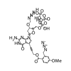 COc1ccc(C(=O)OCC#Cc2cn([C@H]3CC(OCN=[N+]=[N-])[C@@H](COP(=O)(O)OP(=O)(O)OP(=O)(O)O)O3)c3nc(N)[nH]c(=O)c23)c(CN=[N+]=[N-])c1